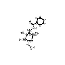 O=C(NN[C@@H]1[C@@H](O)[C@@H](O)[C@@H](CO)O[C@@H]1O)c1ccccc1